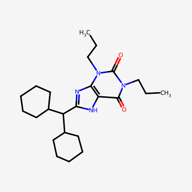 CCCn1c(=O)c2[nH]c(C(C3CCCCC3)C3CCCCC3)nc2n(CCC)c1=O